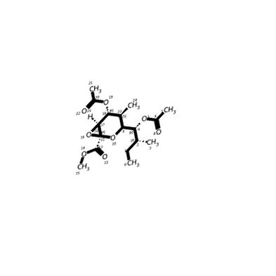 CC[C@@H](C)[C@@H](OC(C)=O)C1O[C@@]2(C(=O)OC)O[C@H]2[C@H](OC(C)=O)[C@H]1C